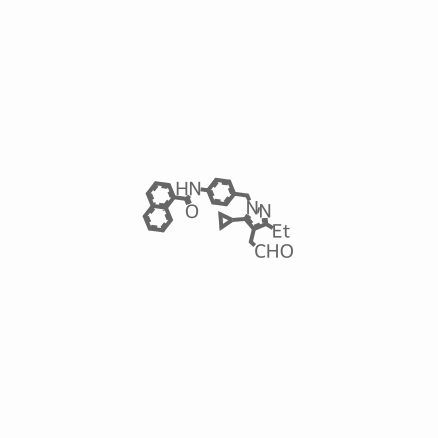 CCc1nn(Cc2ccc(NC(=O)c3cccc4ccccc34)cc2)c(C2CC2)c1CC=O